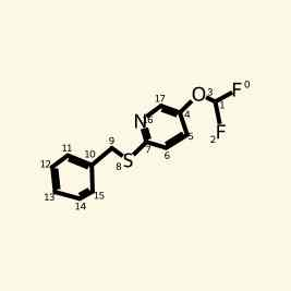 FC(F)Oc1ccc(SCc2ccccc2)nc1